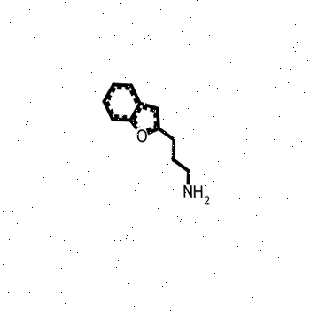 NCCCc1cc2ccccc2o1